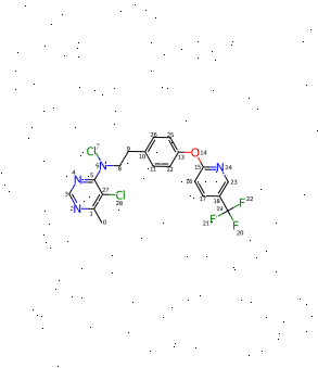 Cc1ncnc(N(Cl)CCc2ccc(Oc3ccc(C(F)(F)F)cn3)cc2)c1Cl